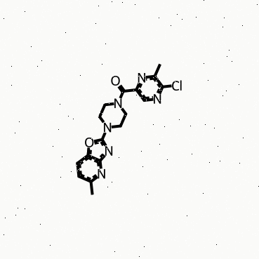 Cc1ccc2oc(N3CCN(C(=O)c4cnc(Cl)c(C)n4)CC3)nc2n1